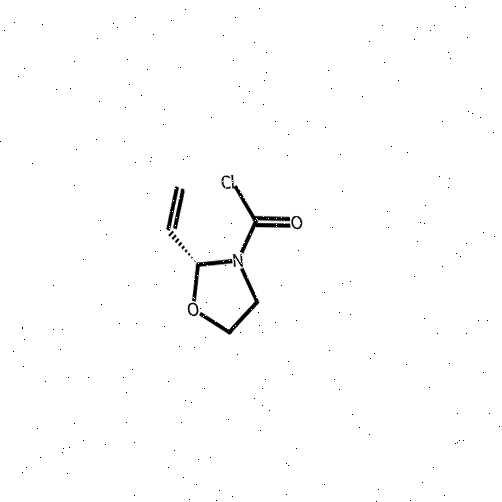 C=C[C@H]1OCCN1C(=O)Cl